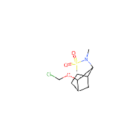 CN1C2C3CC(CC3S1(=O)=O)C2OCCl